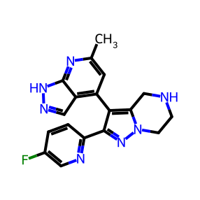 Cc1cc(-c2c(-c3ccc(F)cn3)nn3c2CNCC3)c2cn[nH]c2n1